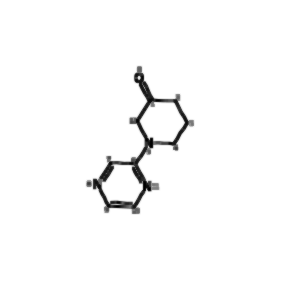 O=C1CCCN(c2cnccn2)C1